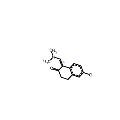 CN(C)/C=C1\C(=O)CCc2cc(Cl)ccc21